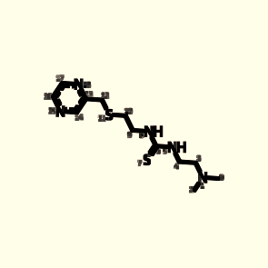 CN(C)CCNC(=S)NCCSCc1cnccn1